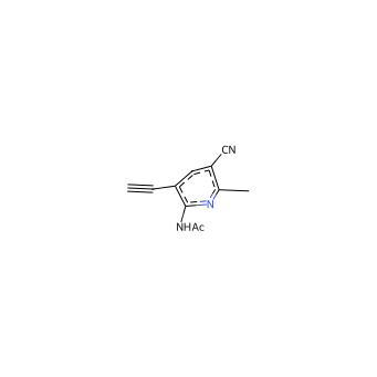 C#Cc1cc(C#N)c(C)nc1NC(C)=O